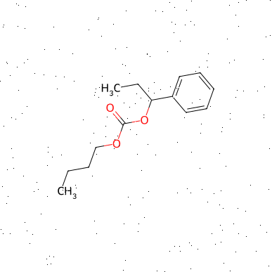 CCCCOC(=O)OC(CC)c1ccccc1